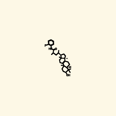 CC(CC(C)[C@H]1CC[C@@]2(C)C3=C(CC[C@]12C)[C@@]1(C)CC[C@H](O)C(C)(C)[C@@H]1CC3)C(=O)Nc1ccccc1F